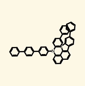 c1ccc(-c2ccc(-c3ccc(N(c4ccc(-c5ccccc5)cc4)c4cccc5ccc6c7ccc(-c8ccccc8)cc7sc6c45)cc3)cc2)cc1